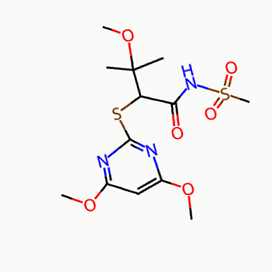 COc1cc(OC)nc(SC(C(=O)NS(C)(=O)=O)C(C)(C)OC)n1